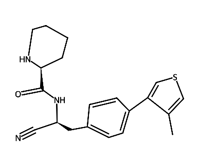 Cc1cscc1-c1ccc(C[C@@H](C#N)NC(=O)[C@@H]2CCCCN2)cc1